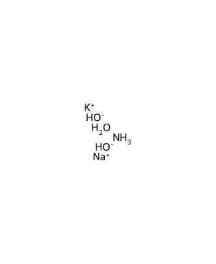 N.O.[K+].[Na+].[OH-].[OH-]